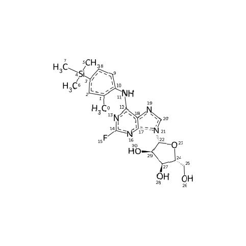 Cc1cc([Si](C)(C)C)ccc1Nc1nc(F)nc2c1ncn2[C@@H]1O[C@H](CO)[C@@H](O)[C@H]1O